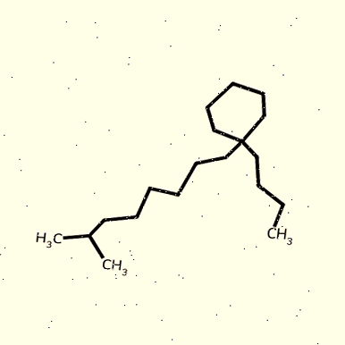 CCCCC1(CCCCCCC(C)C)CCCCC1